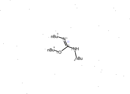 CCCC/N=C(/NCCCC)OCCCC